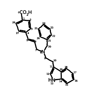 O=C(O)c1ccc(C=CCN(CCc2c[nH]c3ccccc23)Cc2ccccc2)cc1